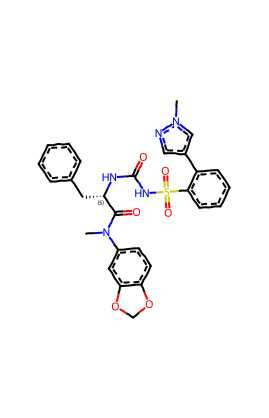 CN(C(=O)[C@H](Cc1ccccc1)NC(=O)NS(=O)(=O)c1ccccc1-c1cnn(C)c1)c1ccc2c(c1)OCO2